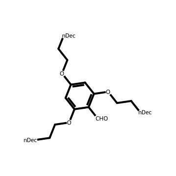 CCCCCCCCCCCCOc1cc(OCCCCCCCCCCCC)c(C=O)c(OCCCCCCCCCCCC)c1